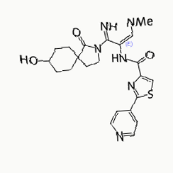 CN/C=C(/NC(=O)c1csc(-c2ccncc2)n1)C(=N)N1CCC2(CCC(O)CC2)C1=O